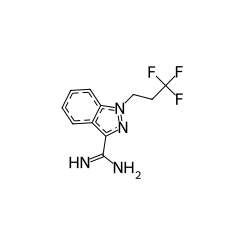 N=C(N)c1nn(CCC(F)(F)F)c2ccccc12